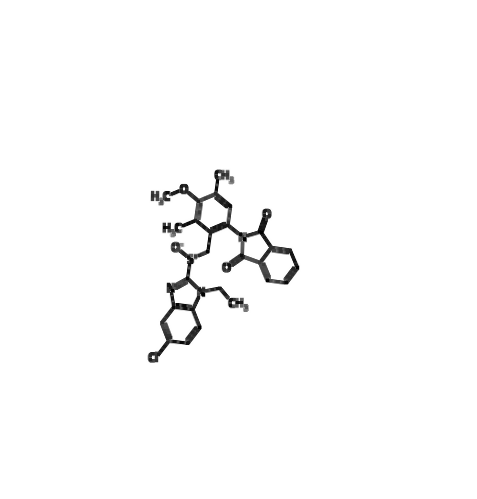 CCn1c([S+]([O-])Cc2c(N3C(=O)c4ccccc4C3=O)cc(C)c(OC)c2C)nc2cc(Cl)ccc21